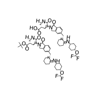 CC(C)(C)OC(=O)CC[C@@H](C(N)=O)N1Cc2cc(C[C@H]3CCCC[C@@H]3NC3CCC(OC(F)F)CC3)ccc2C1=O.NC(=O)[C@H](CCC(=O)O)N1Cc2cc(C[C@H]3CCCC[C@@H]3NC3CCC(OC(F)F)CC3)ccc2C1=O